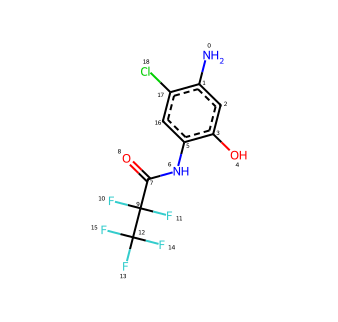 Nc1cc(O)c(NC(=O)C(F)(F)C(F)(F)F)cc1Cl